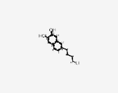 Oc1cc2ccc(CCCCCl)cc2cc1O